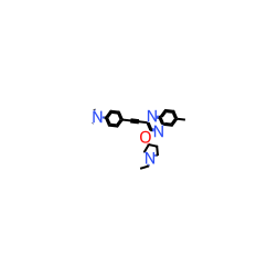 CCN1CCC(Oc2nc3cc(C)ccc3nc2C#Cc2ccc(N(C)C)cc2)C1